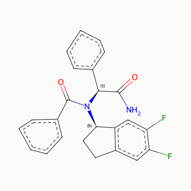 NC(=O)[C@H](c1ccccc1)N(C(=O)c1ccccc1)[C@@H]1CCc2cc(F)c(F)cc21